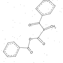 C=C(C(=O)OC(=O)c1ccccc1)C(=O)c1ccccc1